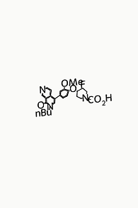 CCCCn1cc(-c2ccc(OC3CCN(C(=O)O)CC3F)c(OC)c2)c2ccncc2c1=O